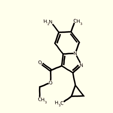 CCOC(=O)c1c(C2CC2C)nn2cc(C)c(N)cc12